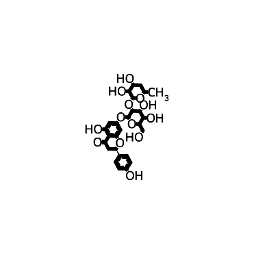 CC1CC(O)C(O)C(OC2C(Oc3cc(O)c4c(c3)O[C@H](c3ccc(O)cc3)CC4=O)OC(CO)C(O)C2O)O1